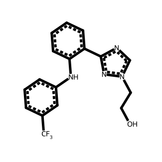 OCCn1cnc(-c2ccccc2Nc2cccc(C(F)(F)F)c2)n1